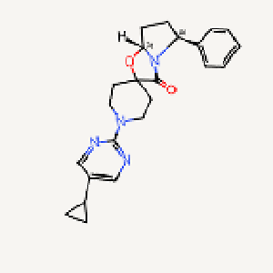 O=C1N2[C@@H](CC[C@H]2c2ccccc2)OC12CCN(c1ncc(C3CC3)cn1)CC2